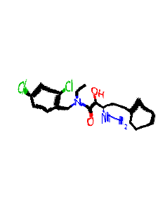 CCN(Cc1ccc(Cl)cc1Cl)C(=O)C(O)[C@H](N)CC1CCCCC1